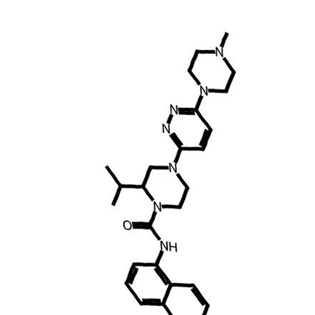 CC(C)C1CN(c2ccc(N3CCN(C)CC3)nn2)CCN1C(=O)Nc1cccc2ncccc12